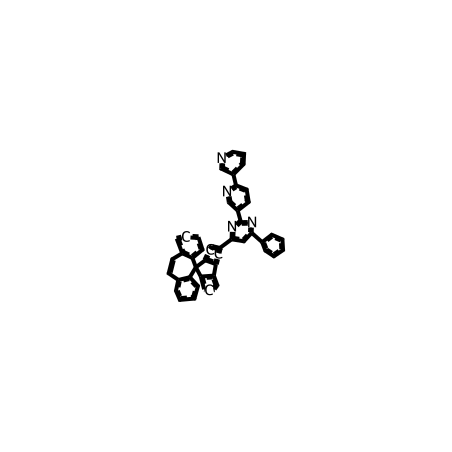 C1=Cc2ccccc2C2(c3ccccc31)c1ccccc1-c1cc(-c3cc(-c4ccccc4)nc(-c4ccc(-c5cccnc5)nc4)n3)ccc12